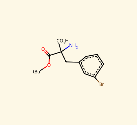 CC(C)(C)OC(=O)C(N)(Cc1cccc(Br)c1)C(=O)O